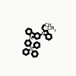 C/C=C\c1c(C)c2ccccc2n1-c1ccc2c(c1)c1ccccc1n2-c1cccc(S(c2ccccc2)(c2ccccc2)c2ccccc2)c1